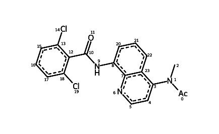 CC(=O)N(C)c1ccnc2c(NC(=O)c3c(Cl)cccc3Cl)cccc12